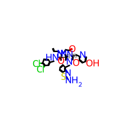 C=CCN(C(=O)NCc1ccc(Cl)c(Cl)c1)N1CC(=O)N2[C@@H](Cc3ccc(O)cn3)C(=O)N(Cc3cccc4sc(N)nc34)C[C@@H]21